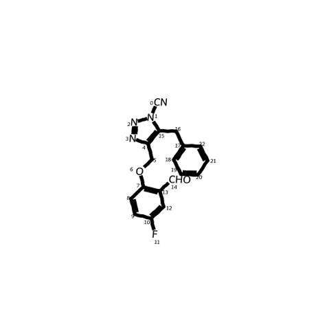 N#Cn1nnc(COc2ccc(F)cc2C=O)c1Cc1ccccc1